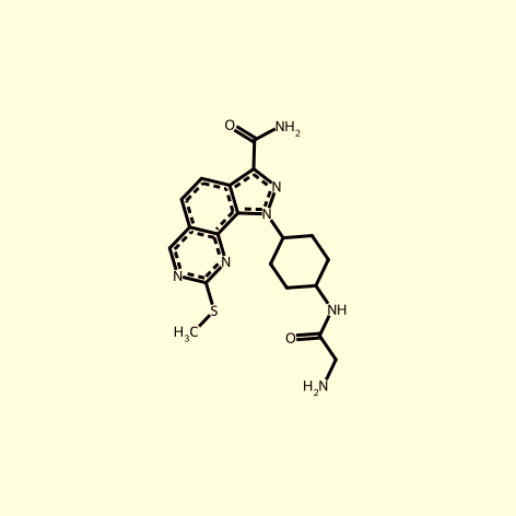 CSc1ncc2ccc3c(C(N)=O)nn(C4CCC(NC(=O)CN)CC4)c3c2n1